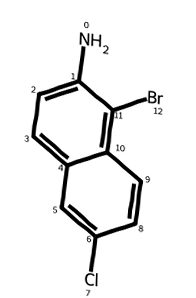 Nc1ccc2cc(Cl)ccc2c1Br